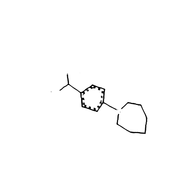 CCOC(=O)C(C=O)c1ccc(N2CCCCCC2)cc1